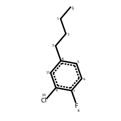 [CH2]CCCc1ccc(F)c(Cl)c1